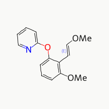 CO/C=C/c1c(OC)cccc1Oc1ccccn1